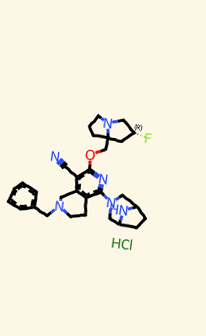 Cl.N#Cc1c(OCC23CCCN2C[C@H](F)C3)nc(N2CC3CCC(C2)N3)c2c1CN(Cc1ccccc1)CC2